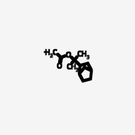 [CH2]C(=O)OC(C)(C)C1CC2CCC1C2